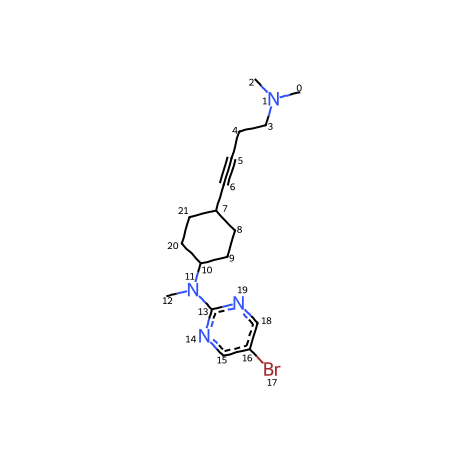 CN(C)CCC#CC1CCC(N(C)c2ncc(Br)cn2)CC1